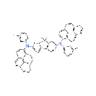 Cc1cccc(N(c2ccc3c(c2)C(C)(C)c2cc(N(c4cccc(C)c4)c4ccc5ccc6cccc7ccc4c5c67)ccc2-3)c2ccc3ccc4c5c3c2CC=C5C=CC4)c1